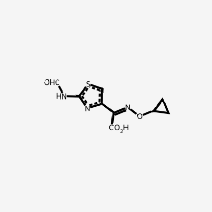 O=CNc1nc(/C(=N/OC2CC2)C(=O)O)cs1